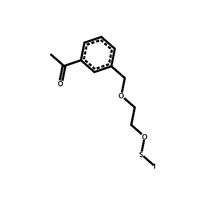 CC(=O)c1cccc(COCCOSI)c1